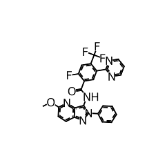 COc1ccc2nn(-c3ccccc3)c(NC(=O)c3cc(-c4ncccn4)c(C(F)(F)F)cc3F)c2n1